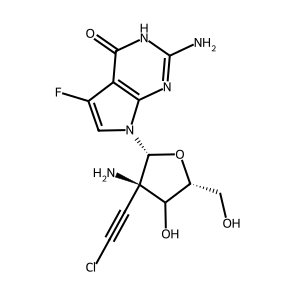 Nc1nc2c(c(F)cn2[C@@H]2O[C@H](CO)C(O)[C@]2(N)C#CCl)c(=O)[nH]1